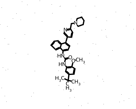 COc1ccc(C(C)(C)C)cc1NC(=O)Nc1ccc(-c2ccc(CN3CCCCC3)nc2)c2ccccc12